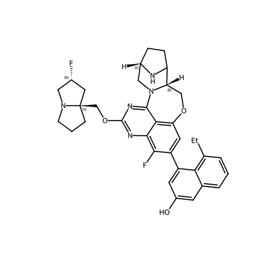 CCc1cccc2cc(O)cc(-c3cc4c5c(nc(OC[C@@]67CCCN6C[C@H](F)C7)nc5c3F)N3C[C@@H]5CCC(N5)[C@@H]3CO4)c12